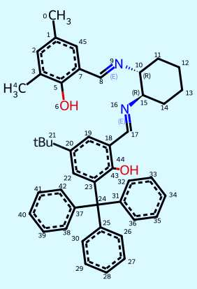 Cc1cc(C)c(O)c(/C=N/[C@@H]2CCCC[C@H]2/N=C/c2cc(C(C)(C)C)cc(C(c3ccccc3)(c3ccccc3)c3ccccc3)c2O)c1